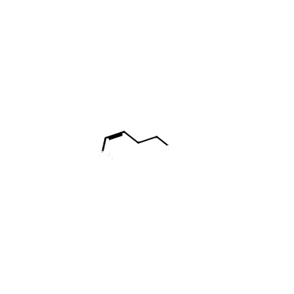 C/C=C\CCBr